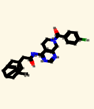 CC12C=C3CC(C1)CC(CC(=O)Nc1ncnc4c1CCN(C(=O)c1ccc(F)cc1)C4)(C3)C2